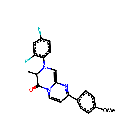 COc1ccc(C2=NC3=CN(c4ccc(F)cc4F)C(C)C(=O)N3C=C2)cc1